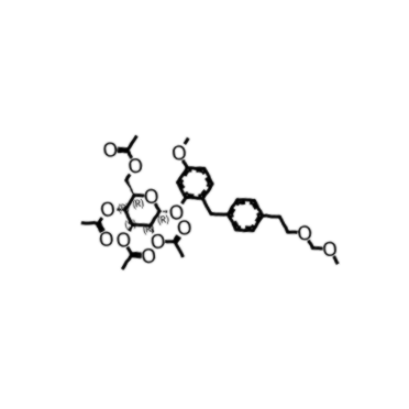 COCOCCc1ccc(Cc2ccc(OC)cc2O[C@H]2O[C@H](COC(C)=O)[C@@H](OC(C)=O)[C@H](OC(C)=O)[C@H]2OC(C)=O)cc1